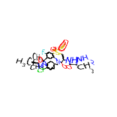 C[C@H](N)C(=O)NC1=CS(=O)(=O)c2cc(F)c(-c3nnc(C(C)(C)C)o3)cc2N(Cc2ccc(Cl)cc2)C1=O